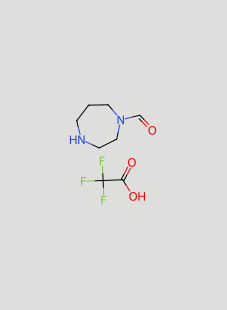 O=C(O)C(F)(F)F.O=CN1CCCNCC1